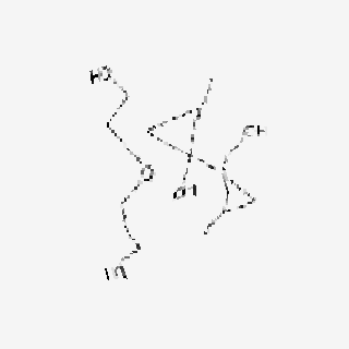 CC1CC1(O)C1(O)CC1C.OCCOCCO